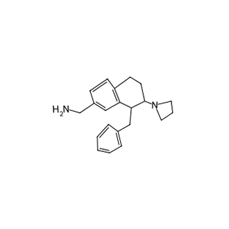 NCc1ccc2c(c1)C(Cc1ccccc1)C(N1CCC1)CC2